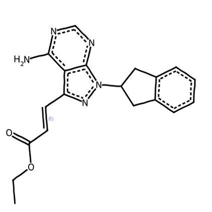 CCOC(=O)/C=C/c1nn(C2Cc3ccccc3C2)c2ncnc(N)c12